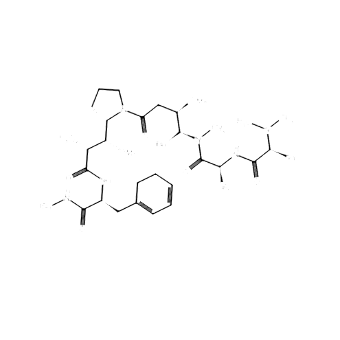 CC[C@H](C)[C@@H]([C@@H](CC(=O)N1CCC[C@H]1[C@H](OC)[C@@H](C)C(=O)N[C@@H](CC1=CC=CCC1)C(=O)NC(C)(C)C)OC)N(C)C(=O)[C@@H](NC(=O)[C@H](C(C)C)N(C)C)C(C)C